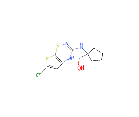 OCC1(NC2=NSc3sc(Cl)cc3N2)CCCC1